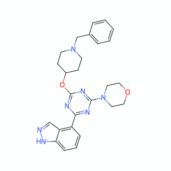 c1ccc(CN2CCC(Oc3nc(-c4cccc5[nH]ncc45)nc(N4CCOCC4)n3)CC2)cc1